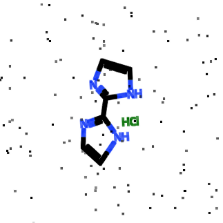 Cl.c1c[nH]c(-c2ncc[nH]2)n1